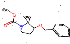 CC(C)(C)OC(=O)N1CCC(OCc2ccccc2)C12C=C2